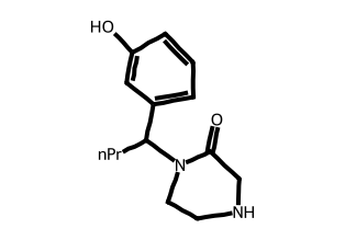 CCCC(c1cccc(O)c1)N1CCNCC1=O